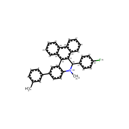 Cc1cccc(-c2ccc3c(c2)-c2c(c4ccccc4c4ccccc24)C(c2ccc(F)cc2)N3C)c1